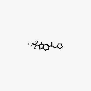 NS(=O)(=O)c1nc2ccc(NCC3CCCC3)cc2s1